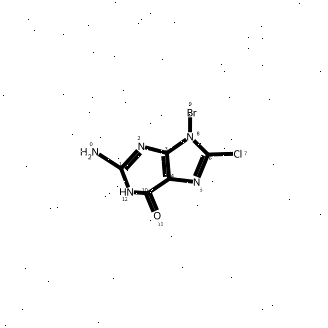 Nc1nc2c(nc(Cl)n2Br)c(=O)[nH]1